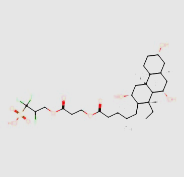 C[C@H](CCC(=O)OCCC(=O)OCC(F)C(F)(F)S(=O)(=O)O)[C@H]1CC[C@H]2[C@@H]3[C@H](O)C[C@@H]4C[C@H](O)CC[C@]4(C)[C@H]3C[C@H](O)[C@]12C